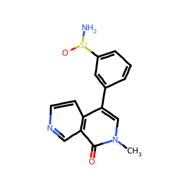 Cn1cc(-c2cccc([S+](N)[O-])c2)c2ccncc2c1=O